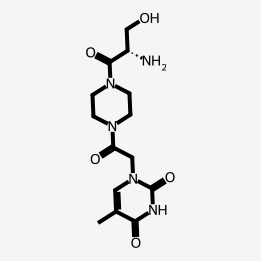 Cc1cn(CC(=O)N2CCN(C(=O)[C@@H](N)CO)CC2)c(=O)[nH]c1=O